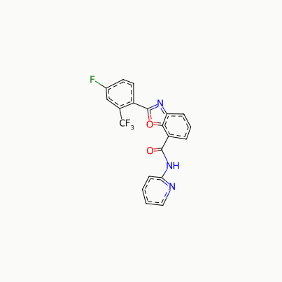 O=C(Nc1ccccn1)c1cccc2nc(-c3ccc(F)cc3C(F)(F)F)oc12